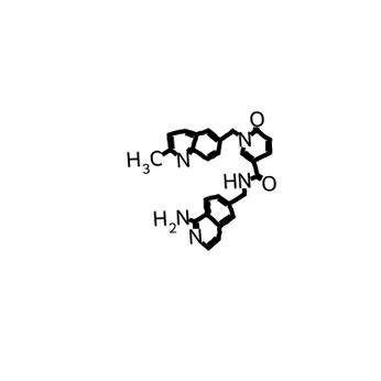 Cc1ccc2cc(Cn3cc(C(=O)NCc4ccc5c(N)nccc5c4)ccc3=O)ccc2n1